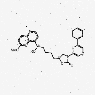 COc1ccc2nccc([C@H](O)CCCC[C@H]3CN(C4=COC=C(C5=CC=CCC5)O4)C(=O)O3)c2n1